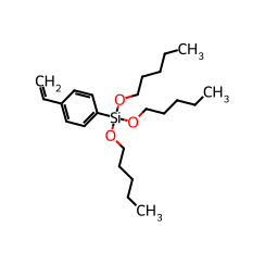 C=Cc1ccc([Si](OCCCCC)(OCCCCC)OCCCCC)cc1